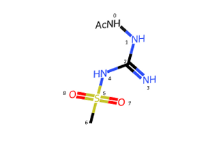 CC(=O)NNC(=N)NS(C)(=O)=O